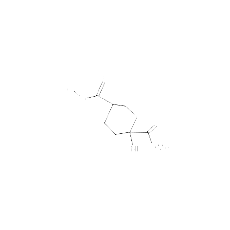 COC(=O)C1(N)CCC(C(=O)OC(C)(C)C)CC1